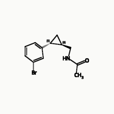 CC(=O)NC[C@@H]1C[C@H]1c1cccc(Br)c1